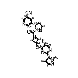 Cc1cnn(C)c1-c1ncc(F)c(OC2CN(C(=O)N3N=CC[C@H]3c3cncc(C#N)c3)C2)n1